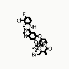 C=C(C(=O)N1CCC(Oc2cc3c(Nc4ccc(F)c(Cl)c4F)ncnc3cc2OC)CC1)C(CBr)O[Si](C)(C)C(C)(C)C